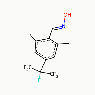 Cc1cc(C(F)(C(F)(F)F)C(F)(F)F)cc(C)c1C=NO